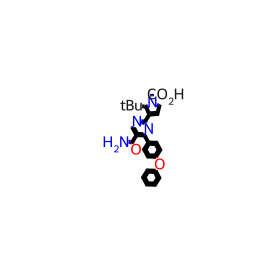 CC(C)(C)C1C(c2ncc(C(N)=O)c(-c3ccc(Oc4ccccc4)cc3)n2)=CCN1C(=O)O